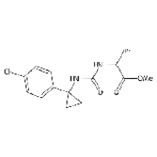 COC(=O)C(NC(=O)NC1(c2ccc(Cl)cc2)CC1)C(C)C